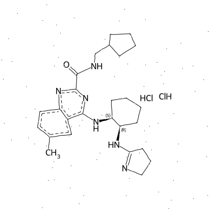 Cc1ccc2nc(C(=O)NCC3CCCC3)nc(N[C@H]3CCCC[C@H]3NC3=NCCC3)c2c1.Cl.Cl